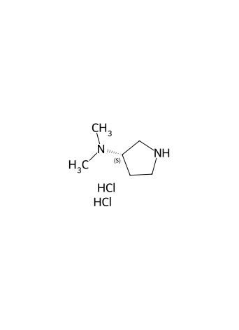 CN(C)[C@H]1CCNC1.Cl.Cl